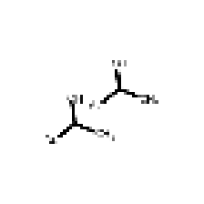 CC(=O)C(C)O.CC(=O)C(C)O